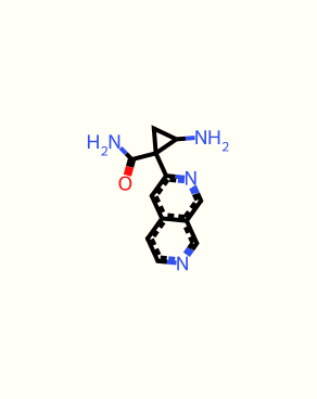 NC(=O)C1(c2cc3ccncc3cn2)CC1N